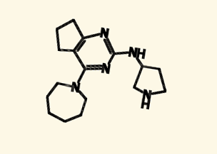 C1CCCN(c2nc(NC3CCNC3)nc3c2CCC3)CC1